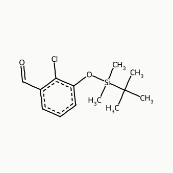 CC(C)(C)[Si](C)(C)Oc1cccc(C=O)c1Cl